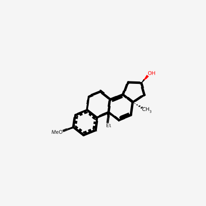 CCC12C=C[C@]3(C)C[C@H](O)CC3=C1CCc1cc(OC)ccc12